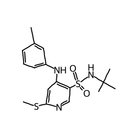 CSc1cc(Nc2cccc(C)c2)c(S(=O)(=O)NC(C)(C)C)cn1